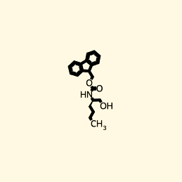 CCCC[C@H](CO)NC(=O)OCC1c2ccccc2-c2ccccc21